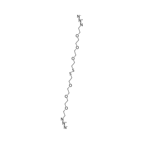 [N-]=[N+]=NCCOCCOCCOCCSSCCOCCOCCOCCN=[N+]=[N-]